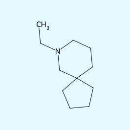 CCN1CCCC2(CCCC2)C1